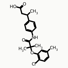 Cc1ccc(Cl)c(OC(C)(C)C(=O)Nc2ccc(C(C)CC(=O)O)cc2)c1